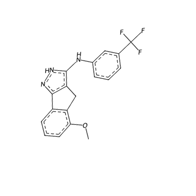 COc1cccc2c1Cc1c-2n[nH]c1Nc1cccc(C(F)(F)F)c1